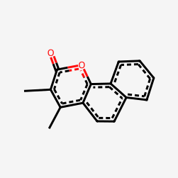 Cc1c(C)c2ccc3ccccc3c2oc1=O